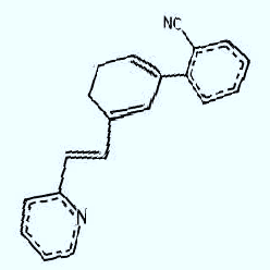 N#Cc1ccccc1C1=C[CH]CC(C=Cc2ccccn2)=C1